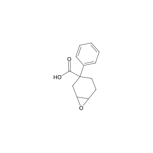 O=C(O)C1(c2ccccc2)CCC2OC2C1